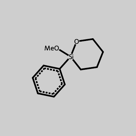 CO[Si]1(c2ccccc2)CCCCO1